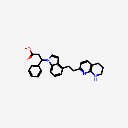 O=C(O)CC(c1ccccc1)n1ccc2c(CCc3ccc4c(n3)NCCC4)cccc21